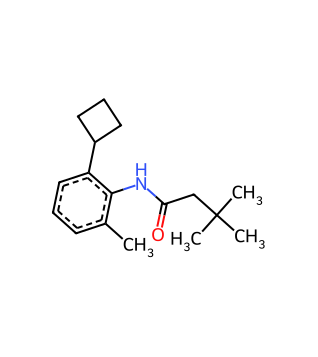 Cc1cccc(C2CCC2)c1NC(=O)CC(C)(C)C